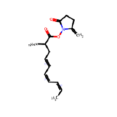 C=C1CCC(=O)N1OC(=O)C(C/C=C/C=C\C=C/C)CCCCCC